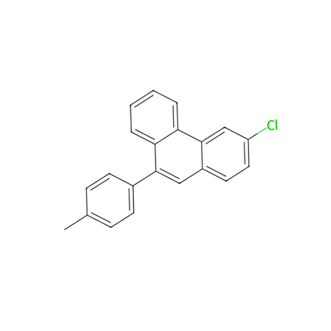 Cc1ccc(-c2cc3ccc(Cl)cc3c3ccccc23)cc1